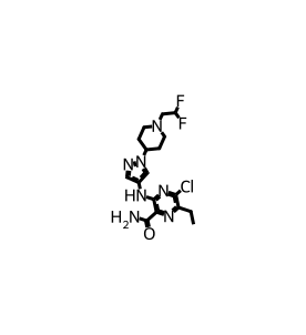 CCc1nc(C(N)=O)c(Nc2cnn(C3CCN(CC(F)F)CC3)c2)nc1Cl